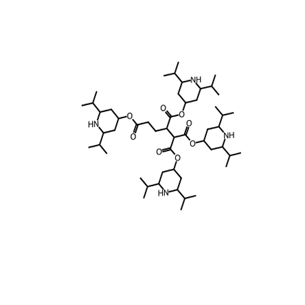 CC(C)C1CC(OC(=O)CCC(C(=O)OC2CC(C(C)C)NC(C(C)C)C2)C(C(=O)OC2CC(C(C)C)NC(C(C)C)C2)C(=O)OC2CC(C(C)C)NC(C(C)C)C2)CC(C(C)C)N1